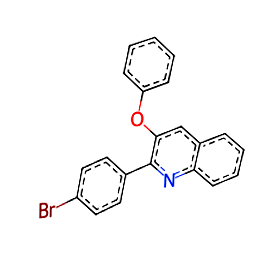 Brc1ccc(-c2nc3ccccc3cc2Oc2ccccc2)cc1